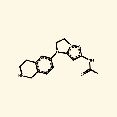 CC(=O)Nc1cc2n(n1)CCN2c1ccc2c(c1)CCNC2